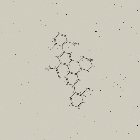 COc1cccc(F)c1-c1ncc(-c2ccc(-c3cnccc3C#N)cc2N2CCNCC2)c(C(N)=O)n1